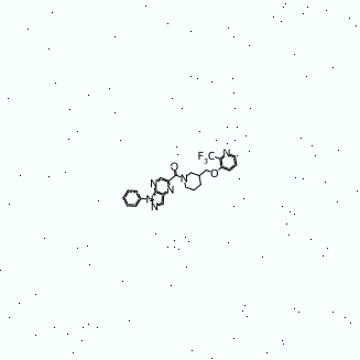 O=C(c1cnc2c(cnn2-c2ccccc2)n1)N1CCCC(COc2cccnc2C(F)(F)F)C1